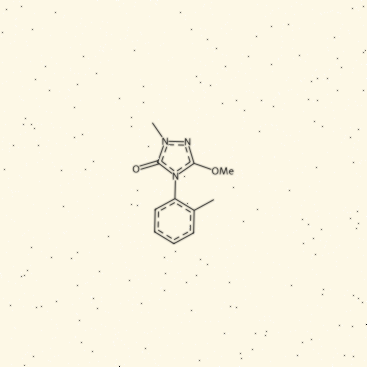 COc1nn(C)c(=O)n1-c1ccccc1C